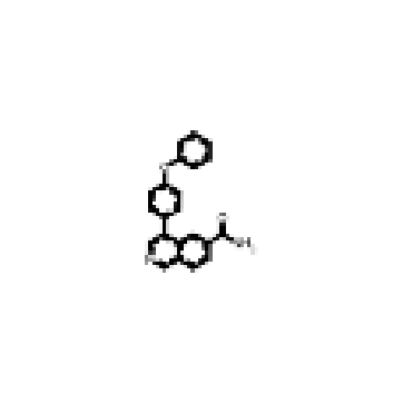 NC(=O)c1ccc2cncc(-c3ccc(Oc4ccccc4)cc3)c2c1